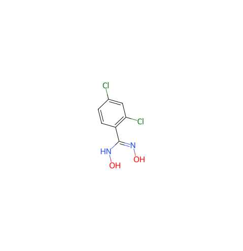 ON=C(NO)c1ccc(Cl)cc1Cl